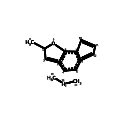 CC1C=c2ccc3c(c2O1)C=CC=3.[CH3][Hf][CH3]